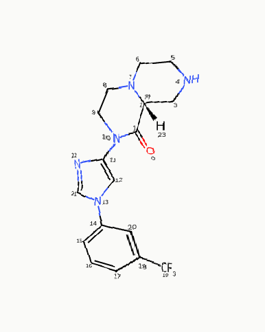 O=C1[C@H]2CNCCN2CCN1c1cn(-c2cccc(C(F)(F)F)c2)cn1